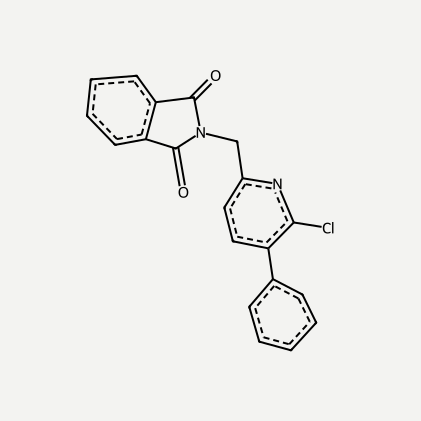 O=C1c2ccccc2C(=O)N1Cc1ccc(-c2ccccc2)c(Cl)n1